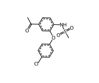 CC(=O)c1ccc(NS(C)(=O)=O)c(Oc2ccc(Cl)cc2)c1